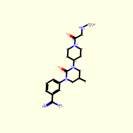 CC1CN(c2cccc(C(=N)N)c2)C(=O)N(C2CCN(C(=O)CNC(=O)O)CC2)C1